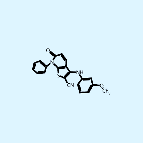 N#Cc1sc2c(ccc(=O)n2-c2ccccc2)c1Nc1cccc(OC(F)(F)F)c1